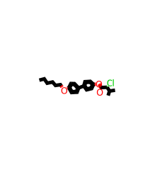 CCCCCCOc1ccc(-c2ccc(OC(=O)C(Cl)C(C)C)cc2)cc1